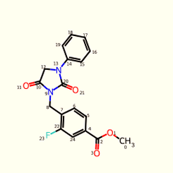 COC(=O)c1ccc(CN2C(=O)CN(c3ccccc3)C2=O)c(F)c1